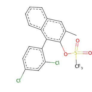 Cc1cc2ccccc2c(-c2ccc(Cl)cc2Cl)c1OS(=O)(=O)C(F)(F)F